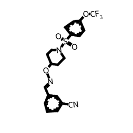 N#Cc1cccc(C=NOC2CCN(S(=O)(=O)c3ccc(OC(F)(F)F)cc3)CC2)c1